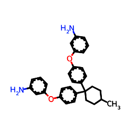 CC1CCC(c2ccc(Oc3cccc(N)c3)cc2)(c2ccc(Oc3cccc(N)c3)cc2)CC1